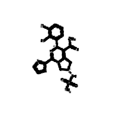 COC(=O)C1=C2C[C@H](NS(N)(=O)=O)CN2C(c2nccs2)=N[C@H]1c1cccc(F)c1Cl